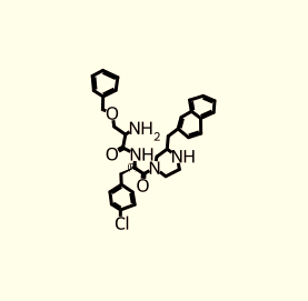 NC(COCc1ccccc1)C(=O)N[C@H](Cc1ccc(Cl)cc1)C(=O)N1CCNC(Cc2ccc3ccccc3c2)C1